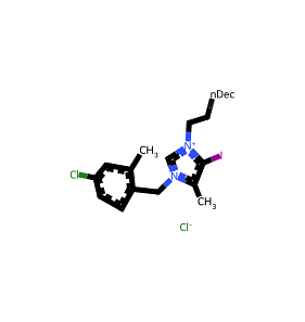 CCCCCCCCCCCC[n+]1cn(Cc2ccc(Cl)cc2C)c(C)c1I.[Cl-]